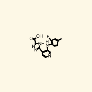 O=C(O)c1nnc(-c2ccncc2Nc2ccc(I)cc2F)[nH]1